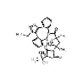 CCn1nnc2c1-c1ccccc1CN(C(=O)C(C)(C)CC(C)(C)N1C(=O)CC(C(C)(C)C)C1=O)c1ccccc1-2